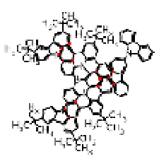 CC(C)(C)c1cc(-c2ccccc2)c(N2c3cc(-n4c5ccc(C(C)(C)C)cc5c5cc(C(C)(C)C)ccc54)ccc3B3c4ccc(-n5c6ccc(C(C)(C)C)cc6c6cc(C(C)(C)C)ccc65)cc4N(c4c(-c5ccccc5)cc(C(C)(C)C)cc4-c4ccccc4)c4cc(-n5c6ccccc6c6cc(-n7c8ccccc8c8ccccc87)ccc65)cc2c43)c(-c2ccccc2)c1